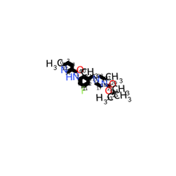 Cc1ccc(C(=O)Nc2cc(F)cc(CN3CCN(C(=O)OC(C)(C)C)C(C)C3)c2C)cn1